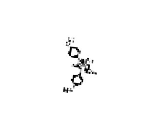 CCCCCCC[CH2][Mg][CH2]CCC.CCOc1ccc(NC(=S)Nc2ccc(OCC)cc2)cc1